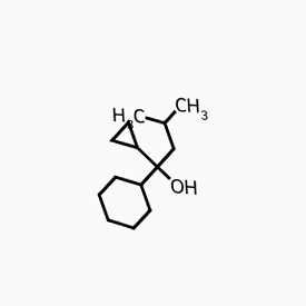 CC(C)CC(O)(C1CCCCC1)C1CC1